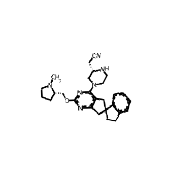 CN1CCC[C@H]1COc1nc2c(c(N3CCN[C@@H](CC#N)C3)n1)CC1(CCc3ccccc31)C2